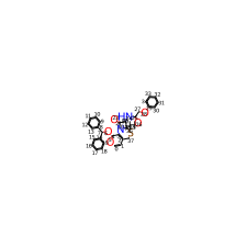 C=CC1=C(C(=O)OC(c2ccccc2)c2ccccc2)N2C(=O)[C@@H](NC(=O)COc3ccccc3)[C@H]2SC1